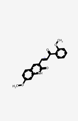 COc1ccc2cc(/C=C/C(=O)c3ccccc3OC)c(=O)[nH]c2c1